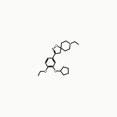 CCOc1ccc(C2=NOC3(CCN(CC)CC3)C2)cc1OC1CCCC1